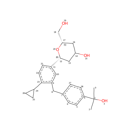 CC(C)(O)c1ccc(Cc2cc([C@H]3CC(O)C[C@@H](CO)O3)ccc2C2CC2)cc1